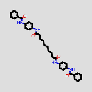 O=C(CCCCCCCCC(=O)Nc1ccc(NC(=O)c2ccccc2)cc1)Nc1ccc(NC(=O)c2ccccc2)cc1